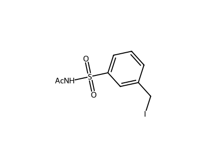 CC(=O)NS(=O)(=O)c1cccc(CI)c1